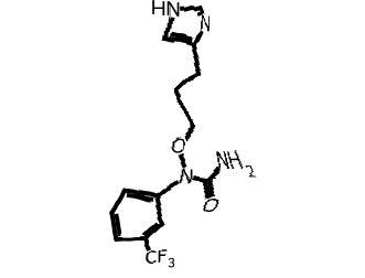 NC(=O)N(OCCCc1c[nH]cn1)c1cccc(C(F)(F)F)c1